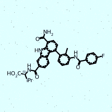 Cc1c(NC(=O)c2ccc(F)cc2)cccc1-c1ccc(C(N)=O)c2[nH]c3cc(C(=O)N[C@H](C(=O)O)C(C)C)ccc3c12